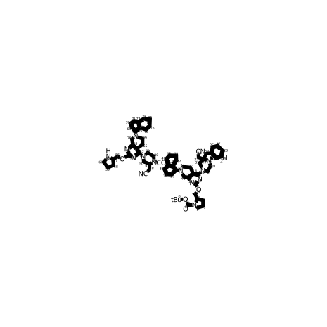 CC(C)(C)OC(=O)N1CCCC1COc1nc2c(c(N3CCN(C(=O)O)C(CC#N)(Cc4ccccc4)C3)n1)CCN(c1cccc3ccccc13)C2.N#CCC1CN(c2nc(OCC3CCCN3)nc3c2CCN(c2cccc4ccccc24)C3)CCN1C(=O)O